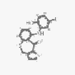 O=C1c2sccc2CSc2cccc(Nc3cc(Cl)ccc3O)c21